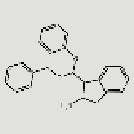 NC1Cc2ccccc2C1C(OCc1ccccc1)Oc1ccccc1